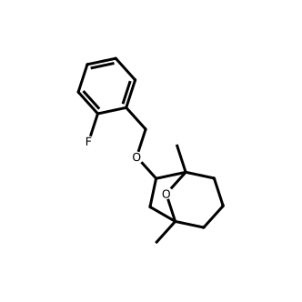 CC12CCCC(C)(O1)C(OCc1ccccc1F)C2